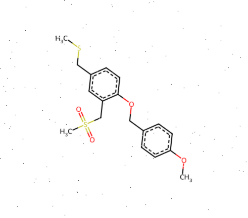 COc1ccc(COc2ccc(CSC)cc2CS(C)(=O)=O)cc1